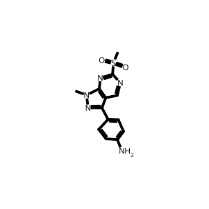 Cn1nc(-c2ccc(N)cc2)c2cnc(S(C)(=O)=O)nc21